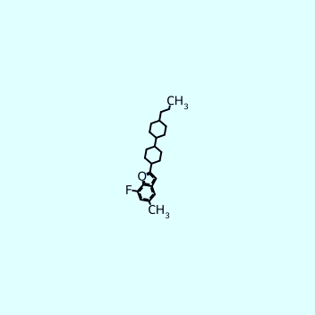 CCCC1CCC(C2CCC(c3cc4cc(C)cc(F)c4o3)CC2)CC1